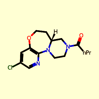 CCCC(=O)N1CCN2c3ncc(Cl)cc3OCC[C@@H]2C1